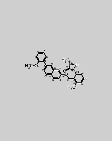 COc1ccccc1-c1ccc2ccc(OCc3c(C)cccc3-n3[nH]n(C)c3=O)cc2c1